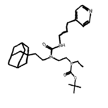 CCN(CCN(CCC12CC3CC(CC(C3)C1)C2)C(=O)NCCCc1ccncc1)C(=O)OC(C)(C)C